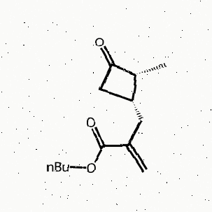 C=C(C[C@@H]1CC(=O)[C@@H]1C)C(=O)OCCCC